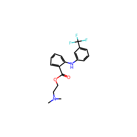 CN(C)CCOC(=O)c1ccccc1Nc1cccc(C(F)(F)F)c1